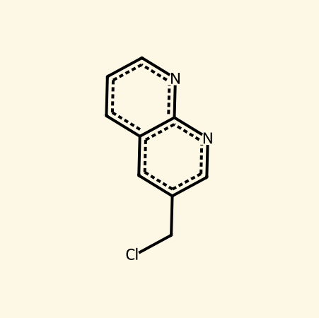 ClCc1cnc2ncccc2c1